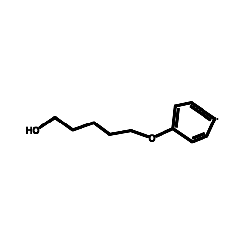 OCCCCCOc1cc[c]cc1